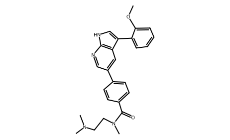 COc1ccccc1-c1c[nH]c2ncc(-c3ccc(C(=O)N(C)CCN(C)C)cc3)cc12